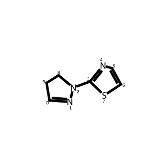 C1=NN(c2nccs2)CC1